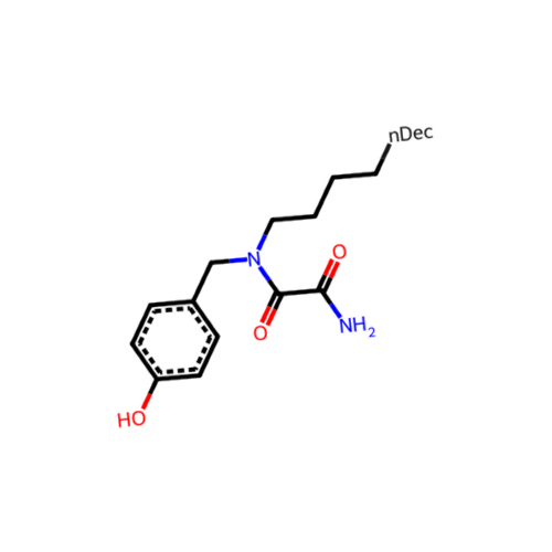 CCCCCCCCCCCCCCN(Cc1ccc(O)cc1)C(=O)C(N)=O